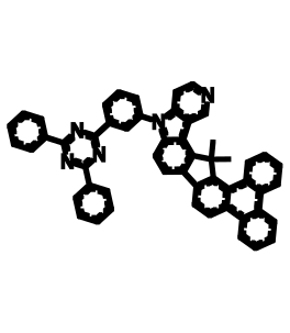 CC1(C)c2c(ccc3c4ccccc4c4ccccc4c23)-c2ccc3c(c21)c1cnccc1n3-c1cccc(-c2nc(-c3ccccc3)nc(-c3ccccc3)n2)c1